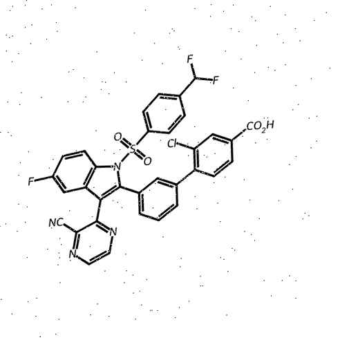 N#Cc1nccnc1-c1c(-c2cccc(-c3ccc(C(=O)O)cc3Cl)c2)n(S(=O)(=O)c2ccc(C(F)F)cc2)c2ccc(F)cc12